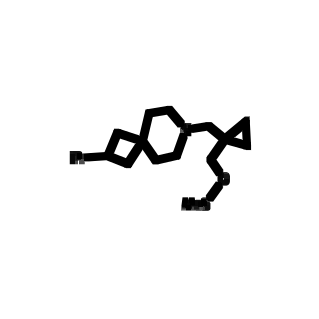 CSOCC1(CN2CCC3(CC2)CC(C(C)C)C3)CC1